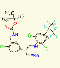 CC(C)(C)OC(=O)NCc1cc(/C(C=N)=C/Nc2c(Cl)cc(C(F)(C(F)(F)F)C(F)(F)F)cc2Cl)ccc1Cl